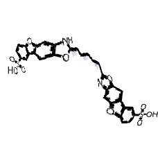 O=S(=O)(O)c1ccc2oc3cc4c(cc3c2c1)O\C(=C/C=C/C=C/c1nc2cc3oc5ccc(S(=O)(=O)O)cc5c3cc2o1)N4